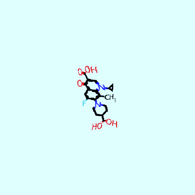 Cc1c(N2CCC(C(O)O)CC2)c(F)cc2c(=O)c(C(=O)O)cn(C3CC3)c12